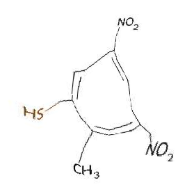 Cc1c(S)cc([N+](=O)[O-])cc1[N+](=O)[O-]